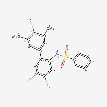 COc1cc(-c2cc(F)c(F)cc2NS(=O)(=O)c2ccccc2)cc(OC)c1F